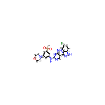 CS(=O)(=O)c1cc(Nc2ncc(-c3n[nH]c4ccc(F)cc34)c(N)n2)cc(N2CCOCC2)c1